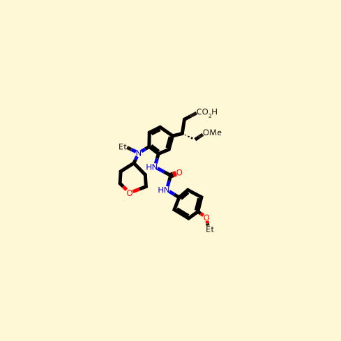 CCOc1ccc(NC(=O)Nc2cc([C@@H](COC)CC(=O)O)ccc2N(CC)C2CCOCC2)cc1